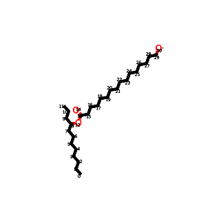 CCCCCCCCC(CCC)OC(=O)CCCCCCCCCCCCCCC[O]